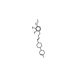 CCOc1ccc(CC/C=C/C2CCC(C3CC=C(C)CC3)CC2)c(F)c1F